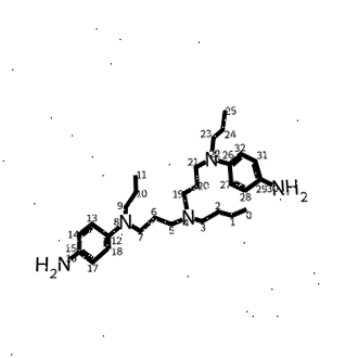 CCCCN(CCCN(CCC)c1ccc(N)cc1)CCCN(CCC)c1ccc(N)cc1